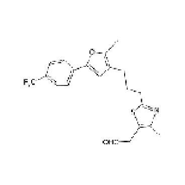 Cc1nc(CCCc2cc(-c3ccc(C(F)(F)F)cc3)oc2C)sc1CC=O